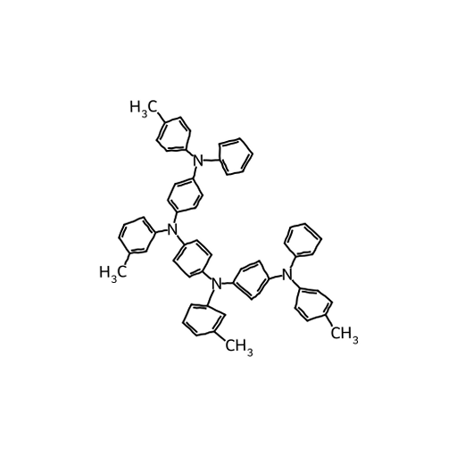 Cc1ccc(N(c2ccccc2)c2ccc(N(c3ccc(N(c4ccc(N(c5ccccc5)c5ccc(C)cc5)cc4)c4cccc(C)c4)cc3)c3cccc(C)c3)cc2)cc1